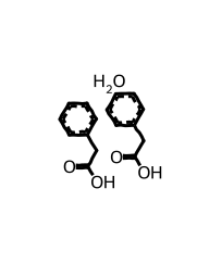 O.O=C(O)Cc1ccccc1.O=C(O)Cc1ccccc1